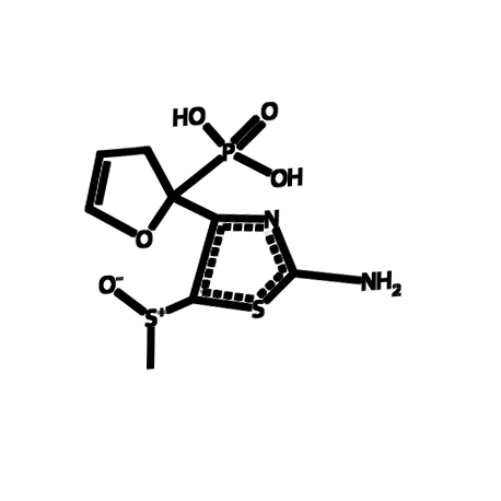 C[S+]([O-])c1sc(N)nc1C1(P(=O)(O)O)CC=CO1